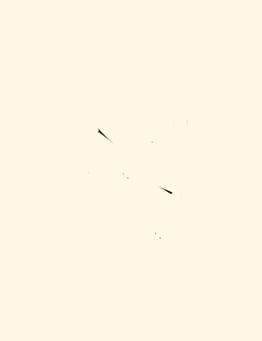 CC1(C)[C@H](C(=O)O)[N+]2(Cl)C(=O)[C@@H]([Na])[C@H]2S1(=O)=O